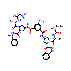 CN[C@@H](C)C(=O)N[C@H](C(=O)N1C[C@@H](NC(=O)c2cc(N)cc(C(=O)N[C@H]3C[C@@H](C(=O)N[C@H](C)c4ccccc4)N(C(=O)[C@@H](NC(=O)[C@H](C)N(C)Cl)C(C)C)C3)c2)C[C@H]1C(=O)N[C@H](C)c1ccccc1)C(C)C